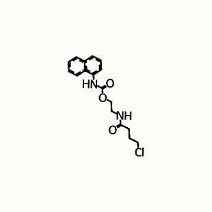 O=C(CCCCl)NCCOC(=O)Nc1cccc2ccccc12